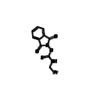 CC(C)CNC(=S)ON1C(=O)c2ccccc2C1=O